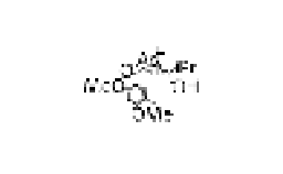 COc1cc(OC)c(C(=O)C(=CN[C@H](CO)C(C)C)C(C)=O)cc1C